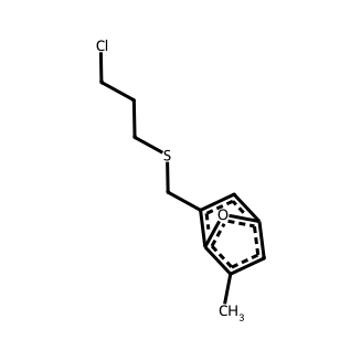 Cc1cc2cc(CSCCCCl)c1o2